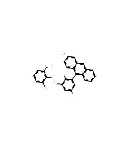 Cc1cc(N=Nc2c(C(C)C)cccc2C(C)C)c([O-])c(-c2c3ccccc3cc3ccccc23)c1.[Na+]